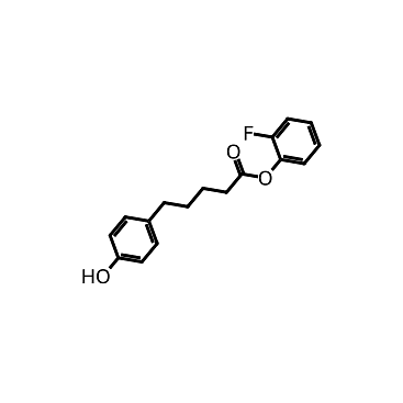 O=C(CCCCc1ccc(O)cc1)Oc1ccccc1F